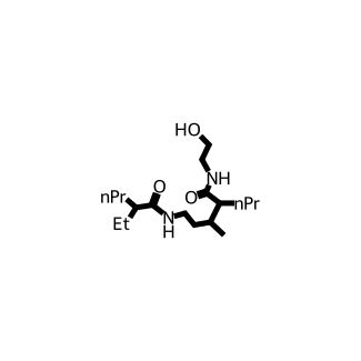 CCCC(CC)C(=O)NCCC(C)C(CCC)C(=O)NCCO